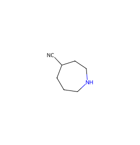 N#CC1CCCNCC1